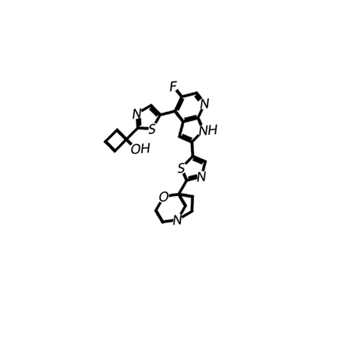 OC1(c2ncc(-c3c(F)cnc4[nH]c(-c5cnc(C67CCN(CCO6)C7)s5)cc34)s2)CCC1